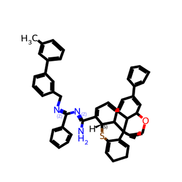 Cc1cccc(-c2cccc(C/N=C(\N=C(/N)C3=CC=CC4[C@@H]3SC3=CCCC=C3C43C4C=CC=CC4OC4C=C(c5ccccc5)C=CC43)c3ccccc3)c2)c1